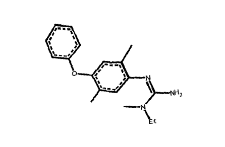 CCN(C)C(N)=Nc1cc(C)c(Oc2ccccc2)cc1C